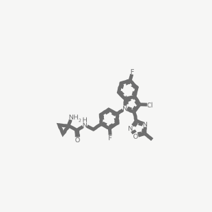 Cc1nc(-c2c(Cl)c3cc(F)ccc3n2-c2ccc(CNC(=O)C3(N)CC3)c(F)c2)no1